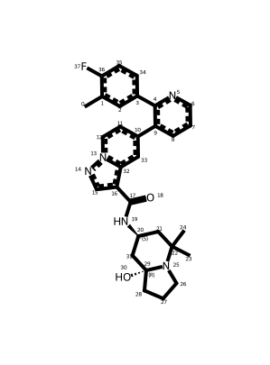 Cc1cc(-c2ncccc2-c2ccn3ncc(C(=O)N[C@H]4CC(C)(C)N5CCC[C@@]5(O)C4)c3c2)ccc1F